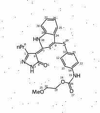 CCCC1=NNC(=O)C1=C1C=C(Sc2ccc(NC(=O)OCCOC)cc2)c2ccccc2N1